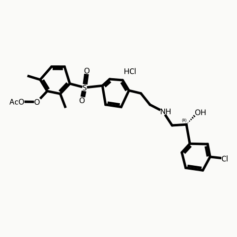 CC(=O)OOc1c(C)ccc(S(=O)(=O)c2ccc(CCNC[C@H](O)c3cccc(Cl)c3)cc2)c1C.Cl